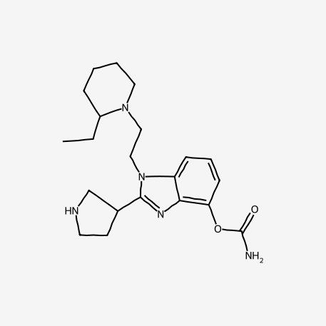 CCC1CCCCN1CCn1c(C2CCNC2)nc2c(OC(N)=O)cccc21